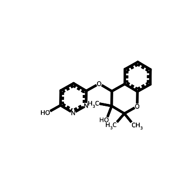 CC1(C)Oc2ccccc2C(Oc2ccc(O)nn2)C1(C)O